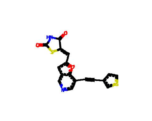 O=C1NC(=O)/C(=C/c2cc3cncc(C#Cc4ccsc4)c3o2)S1